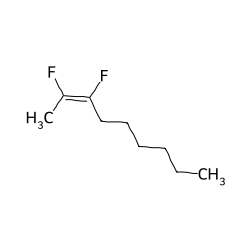 CCCCCC/C(F)=C(\C)F